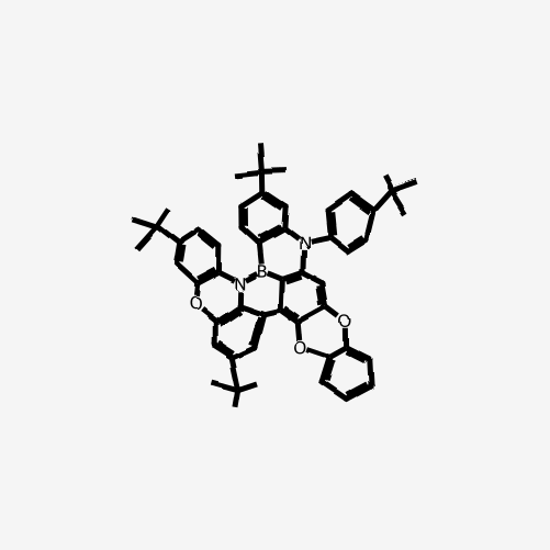 CC(C)(C)c1ccc(N2c3cc(C(C)(C)C)ccc3B3c4c2cc2c(c4-c4cc(C(C)(C)C)cc5c4N3c3ccc(C(C)(C)C)cc3O5)Oc3ccccc3O2)cc1